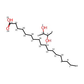 CC(O)C(C)O.CCCCCCCCCCCCCCCCCC(=O)O